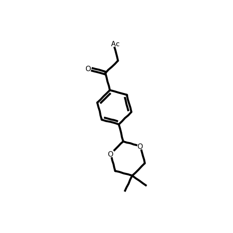 CC(=O)CC(=O)c1ccc(C2OCC(C)(C)CO2)cc1